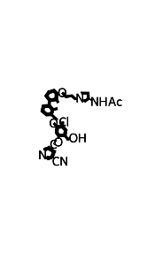 CC(=O)N[C@@H]1CCN(CCCOc2cccc(-c3cccc(COc4cc(OCc5cncc(C#N)c5)c(CO)cc4Cl)c3C)c2C)C1